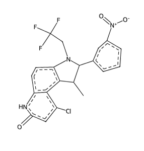 CC1c2c(ccc3[nH]c(=O)cc(Cl)c23)N(CC(F)(F)F)C1c1cccc([N+](=O)[O-])c1